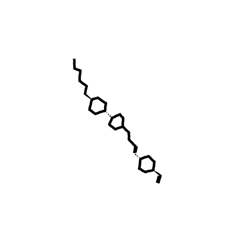 C=C[C@H]1CC[C@H](/C=C/CCC2CCC([C@H]3CC[C@H](CCCCCC)CC3)CC2)CC1